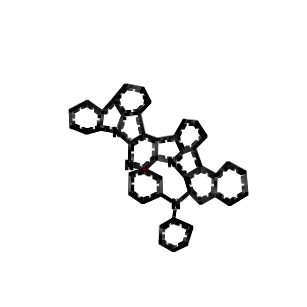 c1ccc(N(c2ccccc2)c2cc3ccccc3c3c4cccc5c6c7c8cccc9c%10ccccc%10n(c7ncc6n(c23)c54)c98)cc1